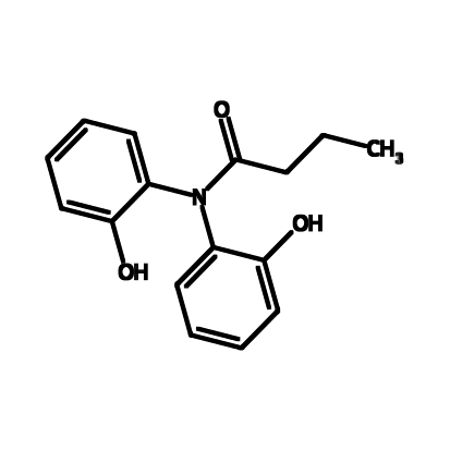 CCCC(=O)N(c1ccccc1O)c1ccccc1O